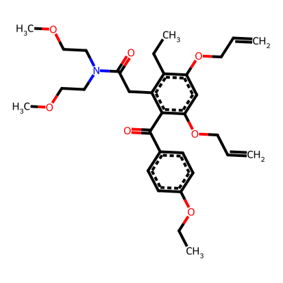 C=CCOc1cc(OCC=C)c(C(=O)c2ccc(OCC)cc2)c(CC(=O)N(CCOC)CCOC)c1CC